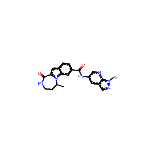 CC(C)n1ncc2cc(NC(=O)c3ccc4cc5n(c4c3)C(C)CCNC5=O)cnc21